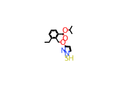 CCc1cccc(C(=O)OC(C)C)c1COc1ccn(S)n1